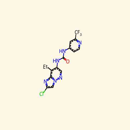 CCc1c(NC(=O)Nc2ccnc(C(F)(F)F)c2)cnn2cc(Cl)nc12